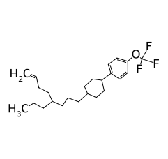 C=CCCC(CCC)CCCC1CCC(c2ccc(OC(F)(F)F)cc2)CC1